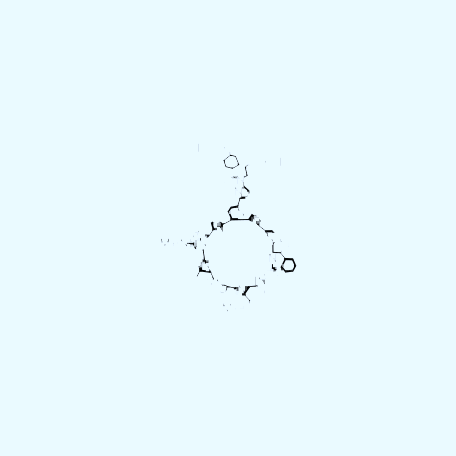 CNC(=O)C[C@@H]1NC(=O)c2csc(n2)-c2ccc(-c3nc(N(CCC(=O)O)C(=O)[C@H]4CC[C@H](C(=O)O)CC4)cs3)nc2-c2csc(n2)-c2csc(n2)[C@H]([C@@H](O)c2ccccc2)NC(=O)CNC(=O)c2nc(sc2COC)C(C(C)C)NC(=O)c2nc1sc2C